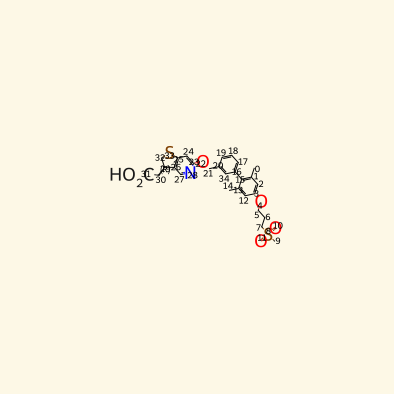 Cc1cc(OCCCS(C)(=O)=O)cc(C)c1-c1cccc(COc2cc3c(cn2)[C@@H](CC(=O)O)CS3)c1